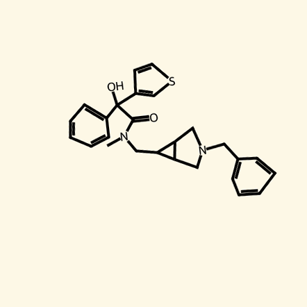 CN(CC1C2CN(Cc3ccccc3)CC21)C(=O)C(O)(c1ccccc1)c1ccsc1